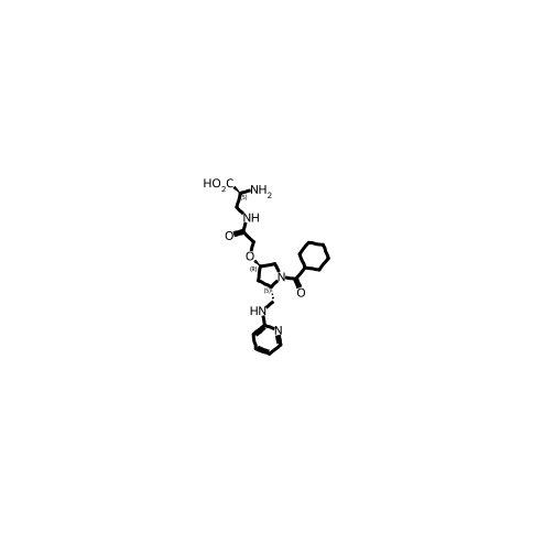 N[C@@H](CNC(=O)CO[C@@H]1C[C@@H](CNc2ccccn2)N(C(=O)C2CCCCC2)C1)C(=O)O